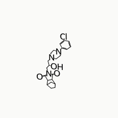 O=C1C2C3CCC(C3)C2C(=O)N1CC(O)CN1CCN(c2cccc(Cl)c2)CC1